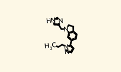 CCCn1nccc1-c1ccc2c(c1)N(Cc1c[nH]cn1)CC2